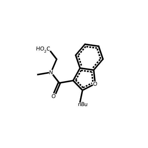 CCCCc1oc2ccccc2c1C(=O)N(C)CC(=O)O